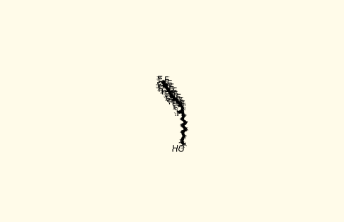 OCCCCCCCCCC(I)CC(F)(F)C(F)(F)C(F)(F)C(F)(F)C(F)(F)C(F)(F)C(F)(F)C(F)(F)F